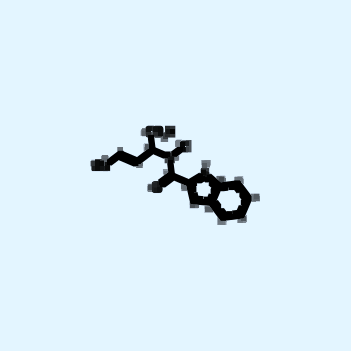 CC(C)(C)/C=C/C(C(=O)O)N(Cl)C(=O)c1cc2ccccc2s1